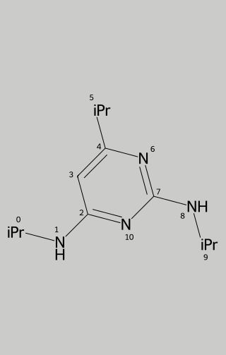 CC(C)Nc1cc(C(C)C)nc(NC(C)C)n1